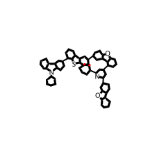 c1ccc(-c2cc(-c3cccc4oc5ccc(-c6ccc7sc8c(-c9ccc%10c(c9)c9ccccc9n%10-c9ccccc9)cccc8c7c6)cc5c34)cc(-c3ccc4c(c3)oc3ccccc34)n2)cc1